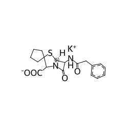 O=C(Cc1ccccc1)NC1C(=O)N2C(C(=O)[O-])C3(CCCC3)S[C@@H]12.[K+]